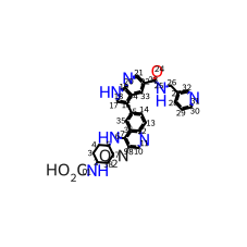 O=C(O)NC1CCC(Nc2c([N+](=O)[O-])cnc3ccc(-c4c[nH]c5ncc(C(=O)NCc6cccnc6)cc45)cc23)CC1